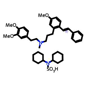 COc1ccc(/C=C/c2ccccc2)c(CCCN(C)CCc2ccc(OC)c(OC)c2)c1.O=S(=O)(O)N(C1CCCCC1)C1CCCCC1